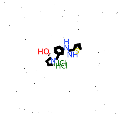 Cl.Cl.N=C(Nc1cccc(CN2CCC[C@@H]2CO)c1)c1cccs1